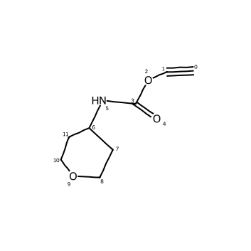 C#COC(=O)NC1CCOCC1